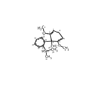 COC1=CCC=C(OC)C1(C)c1ccccc1[SiH](C)C